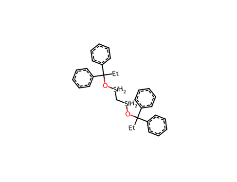 CCC(O[SiH2]C[SiH2]OC(CC)(c1ccccc1)c1ccccc1)(c1ccccc1)c1ccccc1